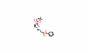 CC(C)(C)OC(=O)n1ccc(CCCC2OC(c3ccccc3)O2)n1